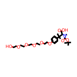 CN(C(=O)OC(C)(C)C)[C@H](C(=O)O)C(C)(C)c1ccc(OCCOCCOCCOCCOCCO)cc1